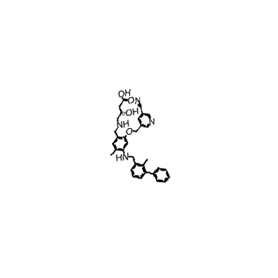 Cc1cc(CNC[C@@H](O)CC(=O)O)c(OCc2cncc(C#N)c2)cc1NCc1cccc(-c2ccccc2)c1C